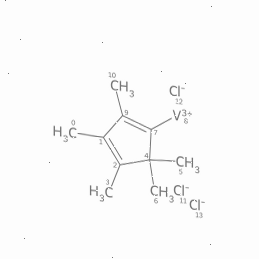 CC1=C(C)C(C)(C)[C]([V+3])=C1C.[Cl-].[Cl-].[Cl-]